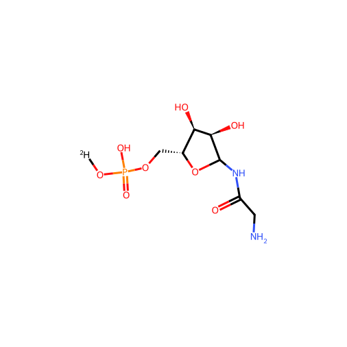 [2H]OP(=O)(O)OC[C@H]1OC(NC(=O)CN)[C@H](O)[C@@H]1O